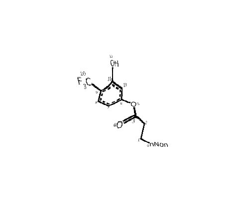 CCCCCCCCCCCC(=O)Oc1ccc(C(F)(F)F)c(O)c1